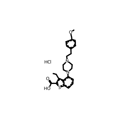 CCc1c(C(=O)O)sc2cccc(N3CCN(CCc4ccc(OC)cc4)CC3)c12.Cl